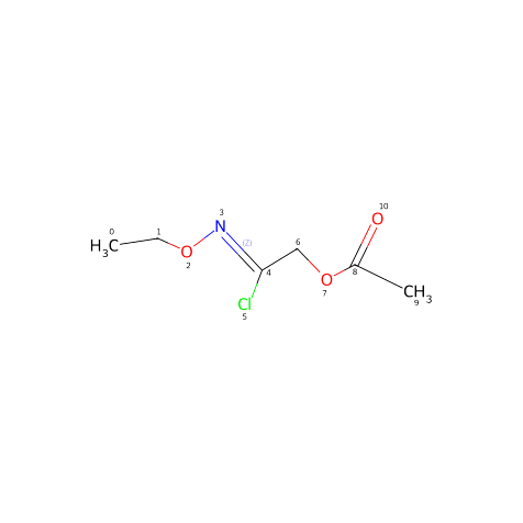 CCO/N=C(\Cl)COC(C)=O